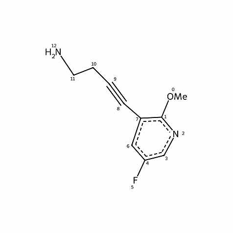 COc1ncc(F)cc1C#CCCN